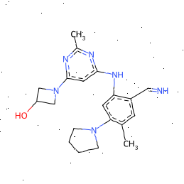 Cc1nc(Nc2cc(N3CCCC3)c(C)cc2C=N)cc(N2CC(O)C2)n1